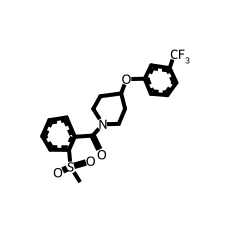 CS(=O)(=O)c1ccccc1C(=O)N1CCC(Oc2cccc(C(F)(F)F)c2)CC1